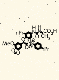 CCCc1cc(NC(=O)N[C@@H](C)C(=O)O)ccc1OC(C(=O)NS(=O)(=O)c1ccc(C(C)C)cc1)c1cc(OC)c2c(c1)OCO2